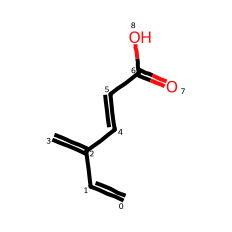 C=CC(=C)C=CC(=O)O